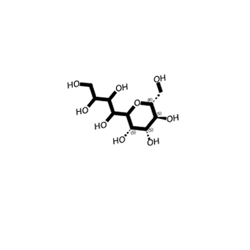 OCC(O)C(O)C(O)C1O[C@H](CO)[C@@H](O)[C@H](O)[C@@H]1O